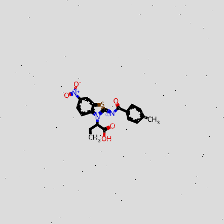 CCC(C(=O)O)n1/c(=N/C(=O)c2ccc(C)cc2)sc2cc([N+](=O)[O-])ccc21